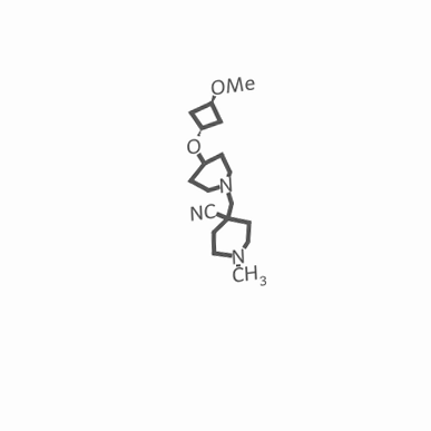 CO[C@H]1C[C@H](OC2CCN(CC3(C#N)CCN(C)CC3)CC2)C1